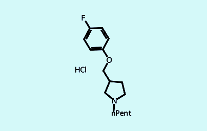 CCCCCN1CCC(COc2ccc(F)cc2)C1.Cl